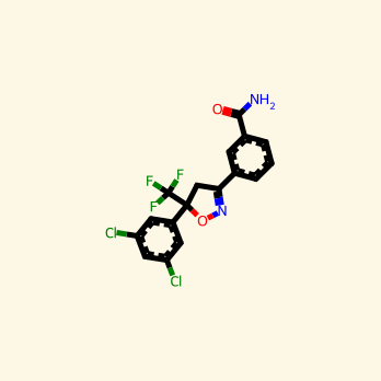 NC(=O)c1cccc(C2=NOC(c3cc(Cl)cc(Cl)c3)(C(F)(F)F)C2)c1